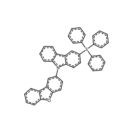 c1ccc(S(c2ccccc2)(c2ccccc2)c2ccc3c(c2)c2ccccc2n3-c2ccc3oc4ccccc4c3c2)cc1